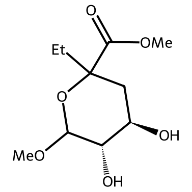 CCC1(C(=O)OC)C[C@@H](O)[C@H](O)C(OC)O1